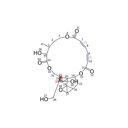 CC1CCOC(=O)/C=C\C=C/C(=O)OC2CC3C4OC34C2(C)C2(CCC(CO)=CC2O)COC(=O)C1O